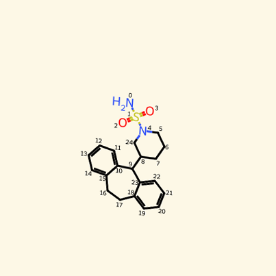 NS(=O)(=O)N1CCCC(C2c3ccccc3CCc3ccccc32)C1